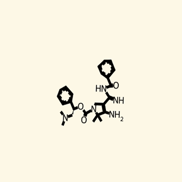 CN(C)C[C@@H](OC(=O)N1CC(C(=N)NC(=O)c2ccccc2)=C(N)C1(C)C)c1ccccc1